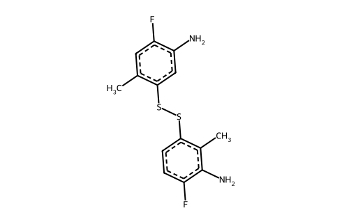 Cc1cc(F)c(N)cc1SSc1ccc(F)c(N)c1C